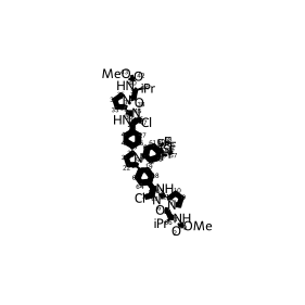 COC(=O)N[C@H](C(=O)N1CCC[C@H]1c1nc(Cl)c(-c2ccc([C@H]3CC[C@H](c4ccc(-c5[nH]c([C@@H]6CCCN6C(=O)[C@@H](NC(=O)OC)C(C)C)nc5Cl)cc4)N3c3ccc(S(F)(F)(F)(F)F)cc3)cc2)[nH]1)C(C)C